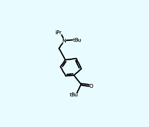 CC(C)N(Cc1ccc(C(=O)C(C)(C)C)cc1)C(C)(C)C